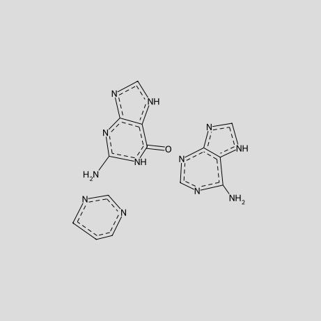 Nc1nc2nc[nH]c2c(=O)[nH]1.Nc1ncnc2nc[nH]c12.c1cncnc1